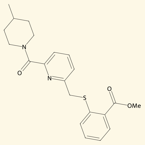 COC(=O)c1ccccc1SCc1cccc(C(=O)N2CCC(C)CC2)n1